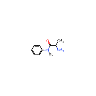 CCN(C(=O)C(C)N)c1ccccc1